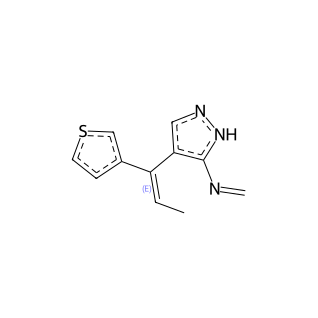 C=Nc1[nH]ncc1/C(=C\C)c1ccsc1